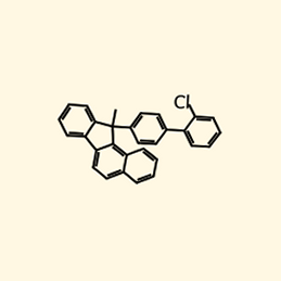 CC1(c2ccc(-c3ccccc3Cl)cc2)c2ccccc2-c2ccc3ccccc3c21